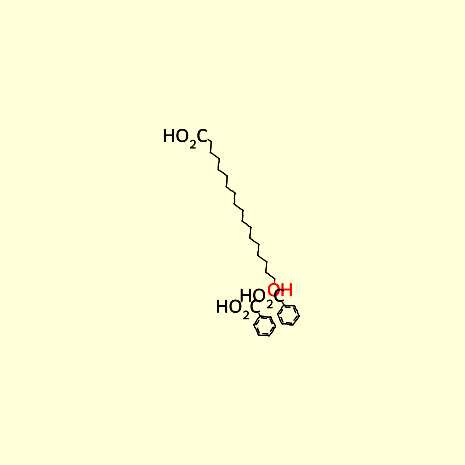 O=C(O)CCCCCCCCCCCCCCCCCO.O=C(O)c1ccccc1.O=C(O)c1ccccc1